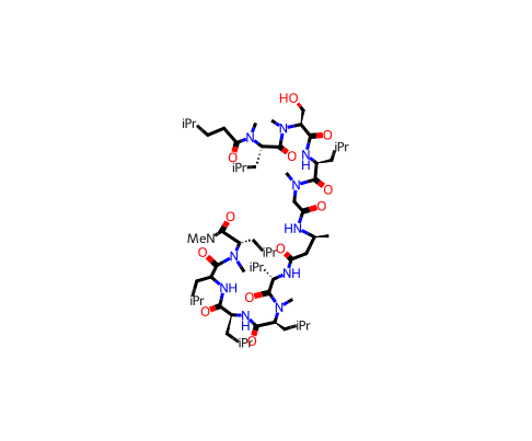 CNC(=O)[C@H](CC(C)C)N(C)C(=O)C(CC(C)C)NC(=O)[C@H](CC(C)C)NC(=O)[C@H](CC(C)C)N(C)C(=O)[C@@H](NC(=O)C[C@H](C)NC(=O)CN(C)C(=O)[C@H](CC(C)C)NC(=O)[C@H](CO)N(C)C(=O)[C@H](CC(C)C)N(C)C(=O)CCC(C)C)C(C)C